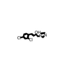 OC(C=Cc1ccc(Cl)cc1Cl)Cn1ccnc1